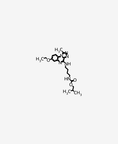 CCOc1ccc2c(c1)nc(NCCCCNC(=O)OCC(C)C)c1nnc(C)n12